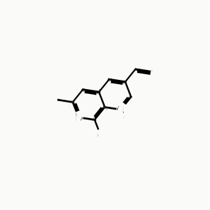 C=Cc1cnc2c(Cl)nc(C)cc2c1